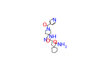 N#CC1(NC(=O)[CH]CC2(C(N)=O)CCCCC2)CCN(C(=O)c2ccncc2)CC1